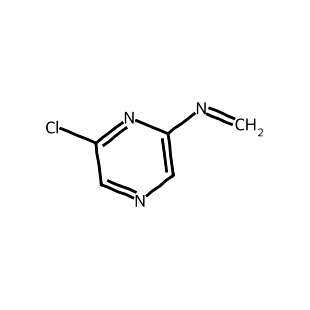 C=Nc1cncc(Cl)n1